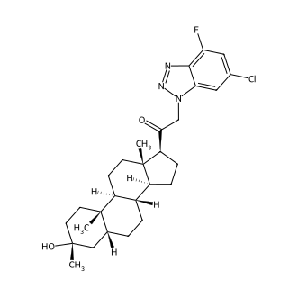 C[C@@]1(O)CC[C@@]2(C)[C@H](CC[C@@H]3[C@@H]2CC[C@]2(C)[C@@H](C(=O)Cn4nnc5c(F)cc(Cl)cc54)CC[C@@H]32)C1